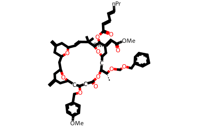 C=C1CC2/C=C/C(C)(C)C3(OC)OC(CC(=CC(=O)OC)C3OC(=O)C=CC=CCCC)CC([C@@H](C)OCOCc3ccccc3)OC(=O)CC(OCc3ccc(OC)cc3)CC3CC(=C)CC(CC(C1)O2)O3